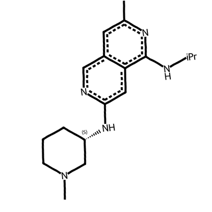 CC(C)Nc1nc(C#N)cc2cnc(N[C@H]3CCCN(C)C3)cc12